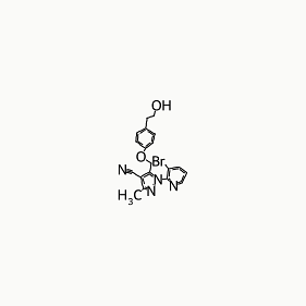 Cc1nn(-c2ncccc2Br)c(COc2ccc(CCO)cc2)c1C#N